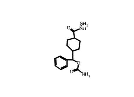 NNC(=O)C1CCC(C(OC(N)=O)c2ccccc2)CC1